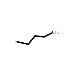 C[CH]CCI